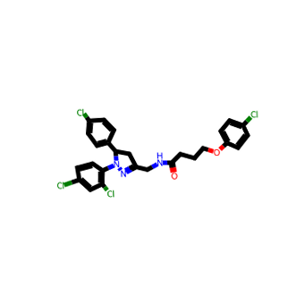 O=C(CCCOc1ccc(Cl)cc1)NCC1=NN(c2ccc(Cl)cc2Cl)C(c2ccc(Cl)cc2)C1